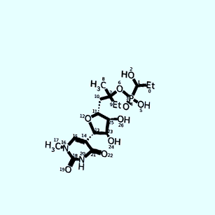 CCC(O)P(=O)(O)OC(C)(CC)C[C@H]1O[C@@H](c2cn(C)c(=O)[nH]c2=O)[C@H](O)[C@@H]1O